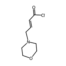 O=C(Cl)C=CCN1CCOCC1